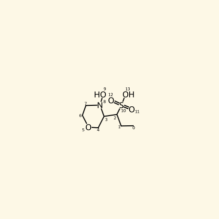 CCC(C1COCCN1O)S(=O)(=O)O